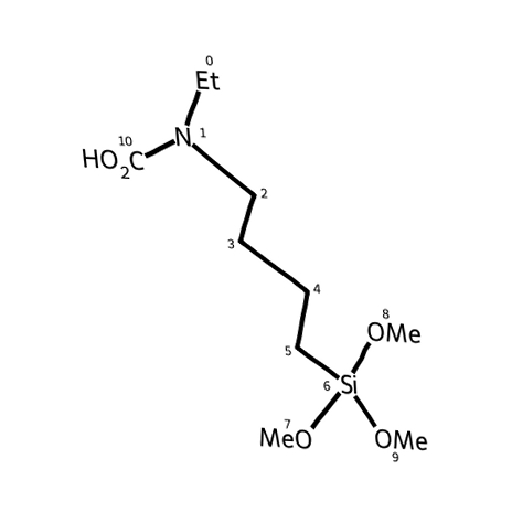 CCN(CCCC[Si](OC)(OC)OC)C(=O)O